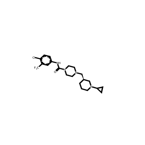 O=C(Nc1ccc(Cl)c(C(F)(F)F)c1)N1CCN(C[C@@H]2CCCN(C3CC3)C2)CC1